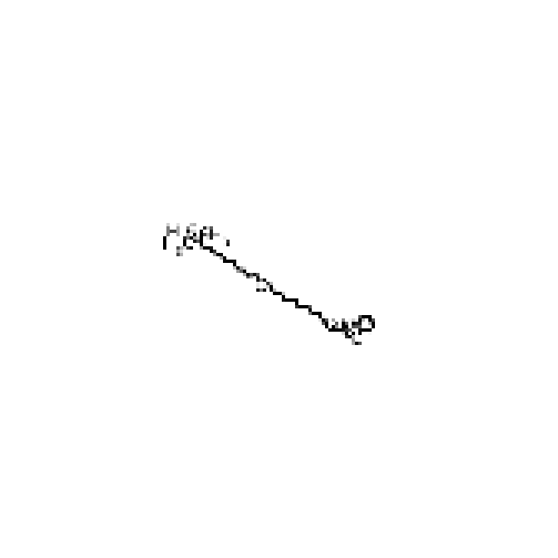 C[N+](C)(C)CCCCCCCCCCOCCCCCCCCCCOCC1COc2ccccc2O1